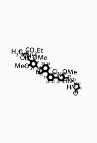 CCOC(=O)[C@@H](NCc1c(OC)cc(-n2ncc3c(-c4cccc(-c5ccc(CNC[C@@H]6CCC(=O)N6)c(OC)n5)c4Cl)cccc32)cc1OC)[C@@H](C)O